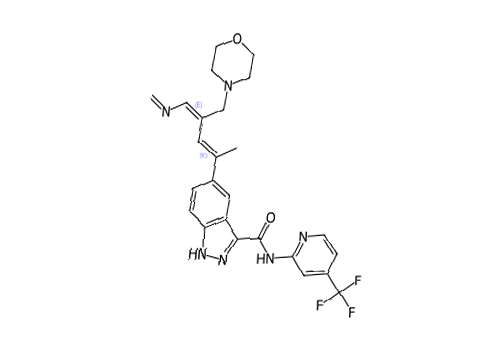 C=N/C=C(\C=C(/C)c1ccc2[nH]nc(C(=O)Nc3cc(C(F)(F)F)ccn3)c2c1)CN1CCOCC1